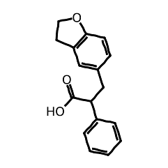 O=C(O)C(Cc1ccc2c(c1)CCO2)c1ccccc1